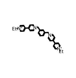 CC[n+]1ccc(-c2cc[n+](Cc3cccc(C[n+]4ccc(-c5cc[n+](CC)cc5)cc4)c3)cc2)cc1